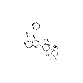 Cc1nc([C@@]2(C)CCC(F)(F)C2)c(Cl)cc1-c1cc(OCc2ccccc2)c2c(C#N)nccc2n1